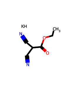 CCOC(=O)C(C#N)C#N.[KH]